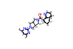 Cc1cc(C)nc(N2CC3CN(C(=O)c4cccc5cccnc45)CC3C2)n1